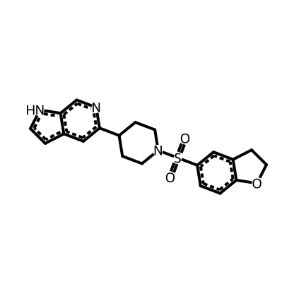 O=S(=O)(c1ccc2c(c1)CCO2)N1CCC(c2cc3cc[nH]c3cn2)CC1